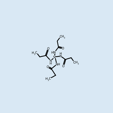 CCC(=O)N[Si](NC(=O)CC)(NC(=O)CC)NC(=O)CC